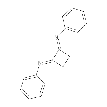 c1ccc(N=C2CCC2=Nc2ccccc2)cc1